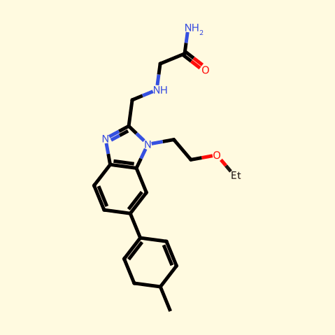 CCOCCn1c(CNCC(N)=O)nc2ccc(C3=CCC(C)C=C3)cc21